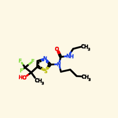 CCCCN(C(=O)NCC)c1ncc(C(C)(O)C(F)(F)F)s1